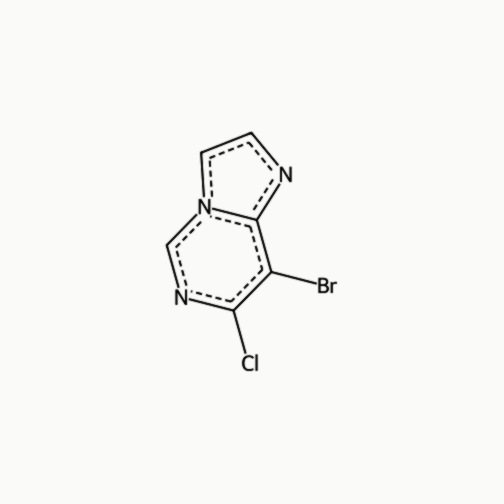 Clc1ncn2ccnc2c1Br